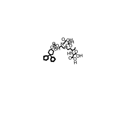 CCC(CCN(CC(=O)O)CC(COP(=O)(O)OC1CCC(c2ccccc2)(c2ccccc2)CC1)[N]CC(=O)O)NC(C(=O)O)C(=O)O